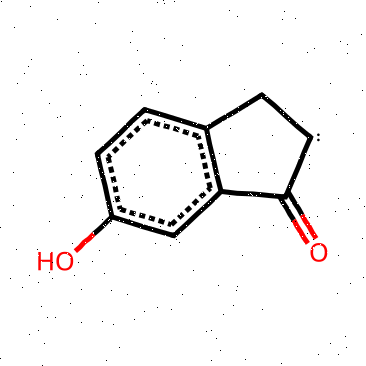 O=C1[C]Cc2ccc(O)cc21